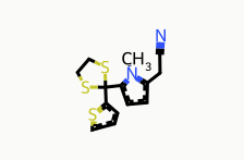 Cn1c(CC#N)ccc1C1(c2cccs2)SCCS1